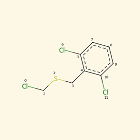 ClCSCc1c(Cl)cccc1Cl